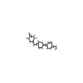 CCN1CCN(C2CCN(CC3CCN(C)CC3)CC2)CC1